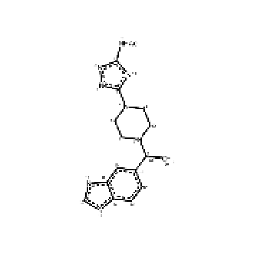 CC(=O)Nc1nnc(N2CCN([C@@H](C)c3ccc4scnc4c3)CC2)s1